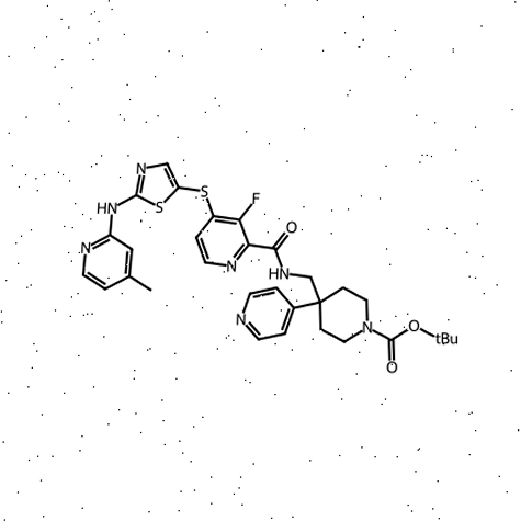 Cc1ccnc(Nc2ncc(Sc3ccnc(C(=O)NCC4(c5ccncc5)CCN(C(=O)OC(C)(C)C)CC4)c3F)s2)c1